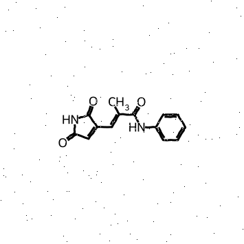 CC(=CC1=CC(=O)NC1=O)C(=O)Nc1ccccc1